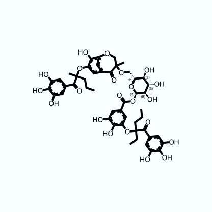 CCCC(C)(Oc1cc2cc(c1O)OCC(C)(OC[C@H]1O[C@H](OC(=O)c3cc(O)c(O)c(OC(CC)(CCC)C(=O)c4cc(O)c(O)c(O)c4)c3)[C@H](O)[C@@H](O)[C@@H]1O)C2=O)C(=O)c1cc(O)c(O)c(O)c1